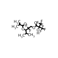 C=C(C)C(=O)OC(C(C)C)C(F)(F)COC(=O)C(O)(C(F)(F)F)C(F)(F)F